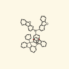 c1ccc(C2(c3ccccc3)c3ccccc3-c3cccc(-n4c5ccccc5c5cc(N(c6ccc7c(c6)oc6ccccc67)c6ccc7oc8ccccc8c7c6)ccc54)c32)cc1